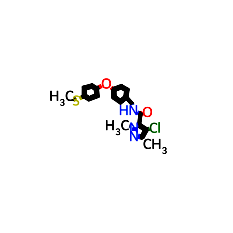 CSc1ccc(Oc2ccc(CNC(=O)c3c(Cl)c(C)nn3C)cc2)cc1